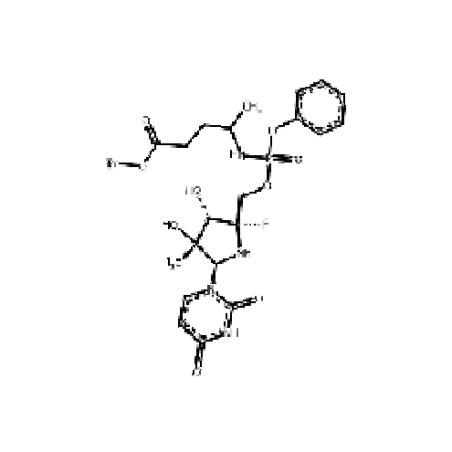 CC(CCC(=O)OC(C)C)NP(=O)(OC[C@@]1(F)N[C@@H](n2ccc(=O)[nH]c2=O)[C@](C)(O)[C@@H]1O)Oc1ccccc1